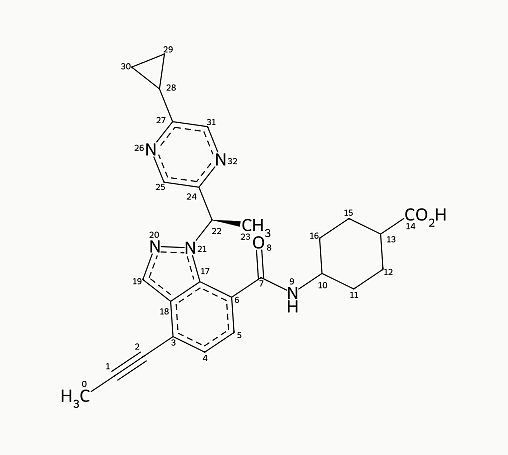 CC#Cc1ccc(C(=O)NC2CCC(C(=O)O)CC2)c2c1cnn2[C@H](C)c1cnc(C2CC2)cn1